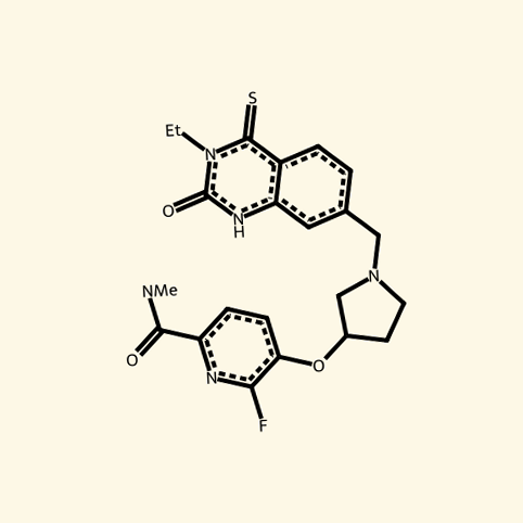 CCn1c(=O)[nH]c2cc(CN3CCC(Oc4ccc(C(=O)NC)nc4F)C3)ccc2c1=S